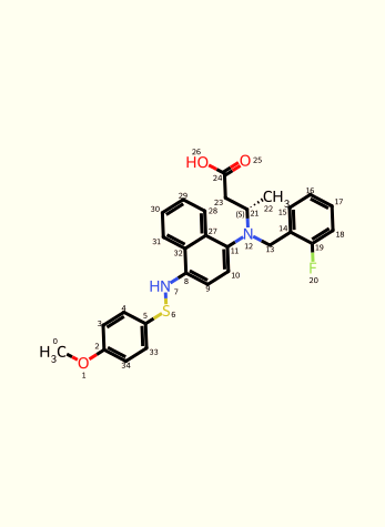 COc1ccc(SNc2ccc(N(Cc3ccccc3F)[C@@H](C)CC(=O)O)c3ccccc23)cc1